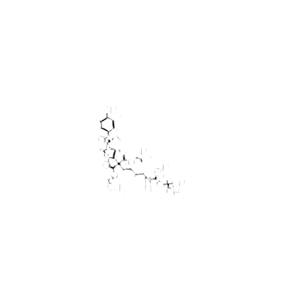 CCOC(=O)C(CCCCNC(=O)OC(C)(C)C)(C(=O)OCC)c1cn(S(=O)(=O)c2ccc(C)cc2)cn1